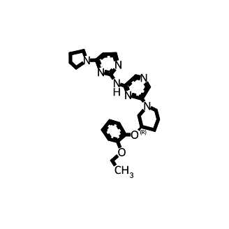 CCOc1ccccc1O[C@@H]1CCCN(c2cncc(Nc3nccc(N4CCCC4)n3)n2)C1